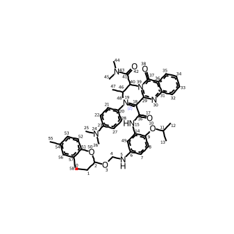 CCC(OCNc1ccc(OC(C)C)c(NC(=O)/C(=N\c2ccc(N(C)C)cc2)c2nc3ccccc3c(=O)n2C(C(=O)N(C)C)C(C)C)c1)Oc1ccc(C)cc1C